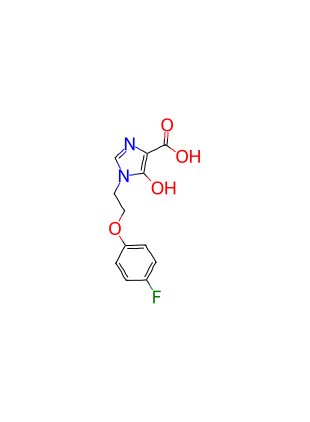 O=C(O)c1ncn(CCOc2ccc(F)cc2)c1O